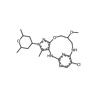 COC1CNc2nc(ncc2Cl)Nc2c(nn(C3CC(C)OC(C)C3)c2C)OC1